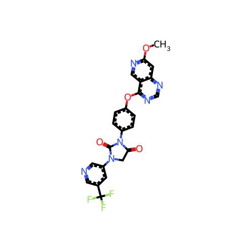 COc1cc2ncnc(Oc3ccc(N4C(=O)CN(c5cncc(C(F)(F)F)c5)C4=O)cc3)c2cn1